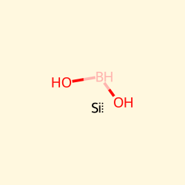 OBO.[Si]